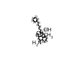 COc1cc(N)c2nccc(C)c2c1OCCCCCCc1ccccc1.Cl